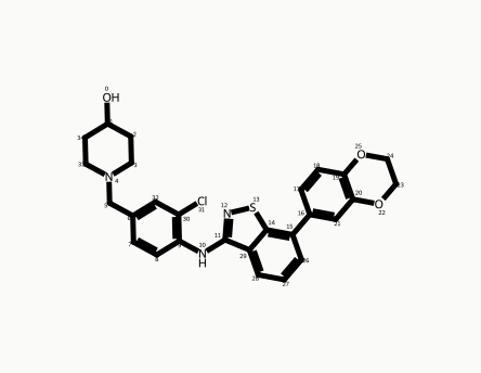 OC1CCN(Cc2ccc(Nc3nsc4c(-c5ccc6c(c5)OCCO6)cccc34)c(Cl)c2)CC1